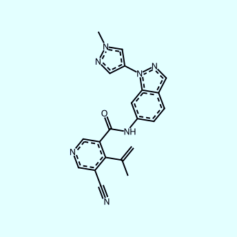 C=C(C)c1c(C#N)cncc1C(=O)Nc1ccc2cnn(-c3cnn(C)c3)c2c1